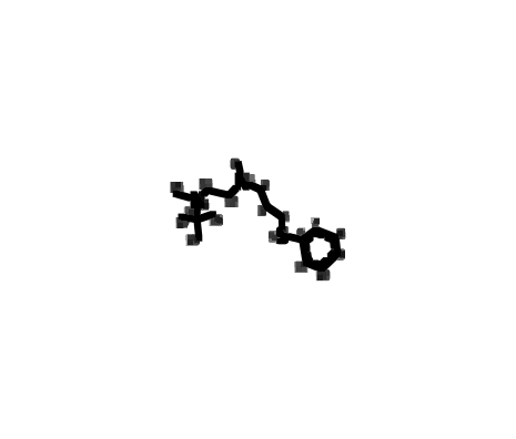 CN(CCCSc1ccccc1)CCN(C)C(C)(C)C